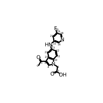 CC(=O)c1cn(CC(=O)O)c2ccc(Nc3cncc(F)c3)cc12